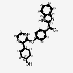 O=C(c1ccc(Oc2nccnc2C2=CC[C@H](O)CC2)cc1)c1nc2ccccc2[nH]1